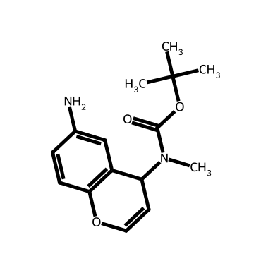 CN(C(=O)OC(C)(C)C)C1C=COc2ccc(N)cc21